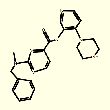 CN(Cc1ccccc1)c1nccc(C(=O)Nc2cnccc2N2CCNCC2)n1